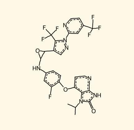 CC(C)n1c(=O)[nH]c2nccc(Oc3ccc(NC4OC4c4cnn(-c5cc(C(F)(F)F)ccn5)c4C(F)(F)F)cc3F)c21